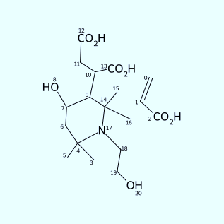 C=CC(=O)O.CC1(C)CC(O)C(C(CC(=O)O)C(=O)O)C(C)(C)N1CCO